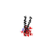 CCCCCCCCCCC[C@@H](O)CC(=O)N[C@]1(O)[C@@H](OP(=O)(O)O)O[C@H](CO)[C@@H](O)[C@@H]1OC(=O)C[C@H](O)CCCCCCCCCCC